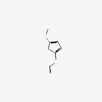 CCNC1=CC=C(NC)C1